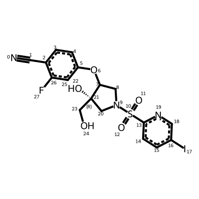 N#Cc1ccc(OC2CN(S(=O)(=O)c3ccc(I)cn3)C[C@@]2(O)CO)cc1F